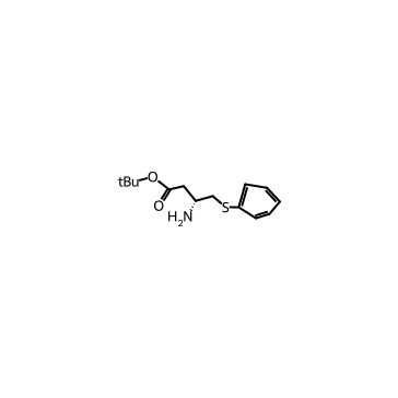 CC(C)(C)OC(=O)C[C@@H](N)CSc1ccccc1